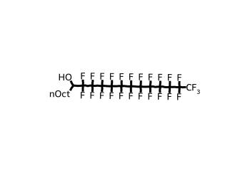 CCCCCCCCC(O)C(F)(F)C(F)(F)C(F)(F)C(F)(F)C(F)(F)C(F)(F)C(F)(F)C(F)(F)C(F)(F)C(F)(F)C(F)(F)C(F)(F)F